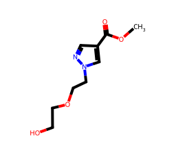 COC(=O)c1cnn(CCOCCO)c1